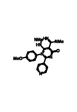 CNNc1c(C(=N)NC)c(=O)nc(-c2ccncc2)n1-c1ccc(OC)cc1